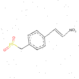 O=[N+]([O-])C=Cc1ccc(C[SH](=O)=O)cc1